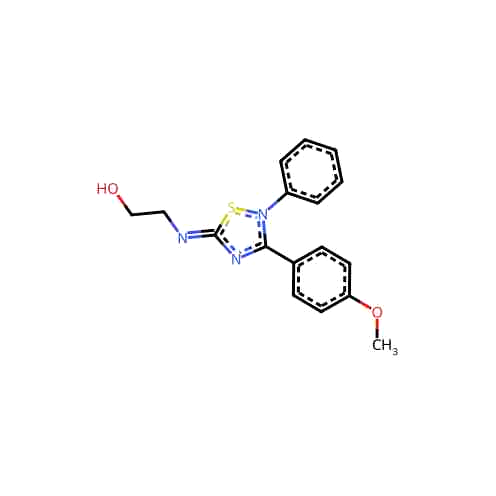 COc1ccc(-c2n/c(=N/CCO)sn2-c2ccccc2)cc1